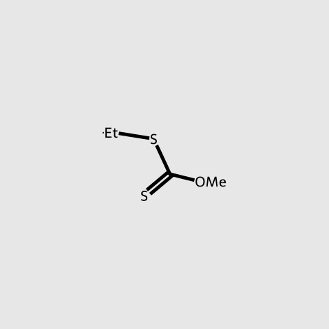 C[CH]SC(=S)OC